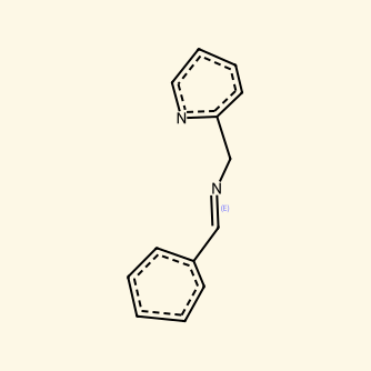 C(=N\Cc1ccccn1)/c1ccccc1